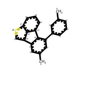 Cc1cccc(-c2cc(C)cc3c2-c2cccc4scc-3c24)c1